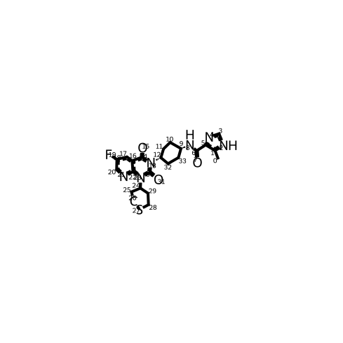 Cc1[nH]cnc1C(=O)N[C@H]1CC[C@@H](n2c(=O)c3cc(F)cnc3n(C3CCSCC3)c2=O)CC1